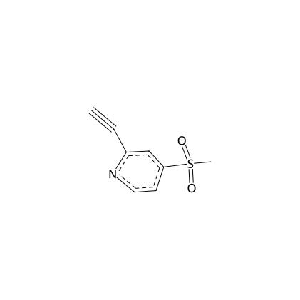 C#Cc1cc(S(C)(=O)=O)ccn1